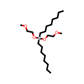 CCCCCCCC[Si](CCCCCCCC)(OCCOC)OCCOC